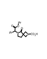 CC(C)OC(=O)C(C(C)C)N1CCC2(CN(C(=O)O)C2)C1=O